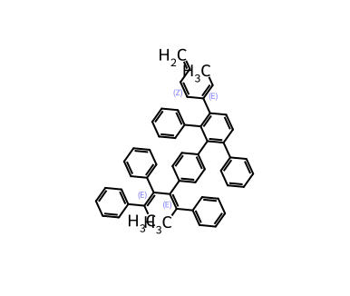 C=C/C=C\C(=C/C)c1ccc(-c2ccccc2)c(-c2ccc(C(=C(/C)c3ccccc3)/C(=C(\C)c3ccccc3)c3ccccc3)cc2)c1-c1ccccc1